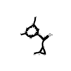 Cc1cc(C)cc(C(=O)C2CC2C)c1